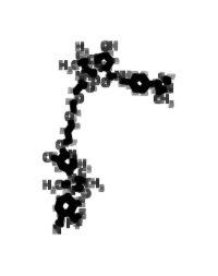 C=C1N(c2ccc(C#N)c(C(F)(F)F)c2F)C(=O)C(C)(C)N1c1cnc(OCCCOCCOCC(=O)N[C@H](C(=O)N2C[C@H](O)C[C@H]2C(=O)NCc2ccc(-c3scnc3C)cc2)C(C)(C)C)c(Cl)c1